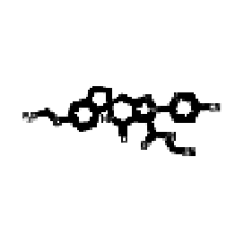 N#CCNC(=O)c1c2c(nn1-c1ccc(C#N)cn1)C[C@@]1(CCc3cc(OCC(F)(F)F)ccc31)NC2=O